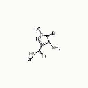 Cn1nc(C(=O)NBr)c(N)c1Br